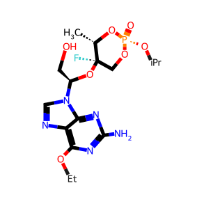 CCOc1nc(N)nc2c1ncn2[C@@H](CO)O[C@]1(F)CO[P@@](=O)(OC(C)C)O[C@H]1C